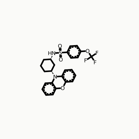 O=S(=O)(N[C@H]1CCC[C@@H](N2c3ccccc3Oc3ccccc32)C1)c1ccc(OC(F)(F)F)cc1